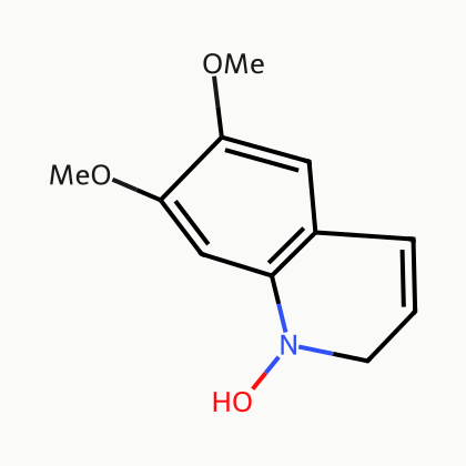 COc1cc2c(cc1OC)N(O)CC=C2